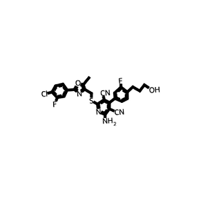 Cc1oc(-c2ccc(Cl)c(F)c2)nc1CSc1nc(N)c(C#N)c(-c2ccc(CCCO)c(F)c2)c1C#N